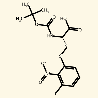 CC(C)(C)OC(=O)N[C@@H](CSc1cccc(I)c1[N+](=O)[O-])C(=O)O